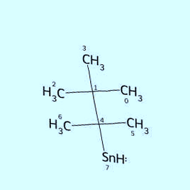 CC(C)(C)[C](C)(C)[SnH]